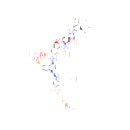 O=[N+]([O-])c1cc(/N=N/c2ccc(O)c(/N=N\c3cc(S(=O)(=O)O)cc4cc(SOOO)c(/N=N/c5ccc(/N=N/c6ccc(S(=O)(=O)CCOSOOO)cc6S(=O)(=O)O)c6ccc(SOOO)cc56)c(O)c34)c2O)c(O)c([N+](=O)[O-])c1